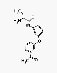 CCC(N)C(=O)Nc1cccc(Oc2cccc(C(C)=O)c2)c1